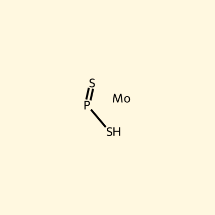 S=PS.[Mo]